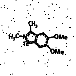 COc1cc2[te][n+](C)c(C)c2cc1OC